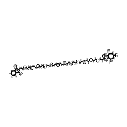 O=C(CCOCCOCCOCCOCCOCCOCCOCCOCCOCCOCCOCCOCCN1C(=O)C2=C(CCC=C2)C1=O)OC1=C(F)C(F)=CC(F)CC1F